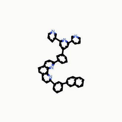 c1cncc(-c2cc(-c3cccc(-c4ccc5ccc6ccc(-c7cccc(-c8ccc9ccccc9c8)c7)nc6c5n4)c3)cc(-c3cccnc3)n2)c1